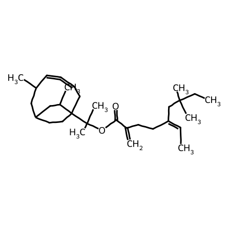 C=C(CC/C(=C\C)CC(C)(C)CC)C(=O)OC(C)(C)C12CC=C=CC(C)CC(CC1)CC2C